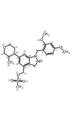 COc1ccc(CN2NCc3c(COS(C)(=O)=O)cc(N4CCOCC4C)nc32)c(OC)c1